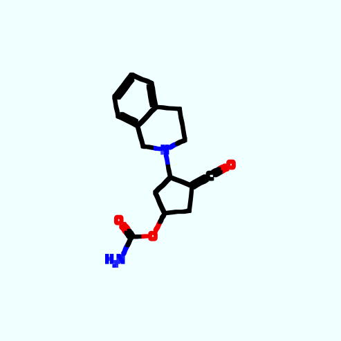 NC(=O)OC1CC(=C=O)C(N2CCc3ccccc3C2)C1